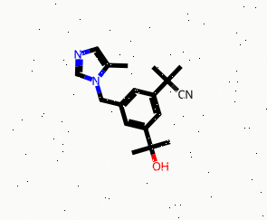 Cc1cncn1Cc1cc(C(C)(C)O)cc(C(C)(C)C#N)c1